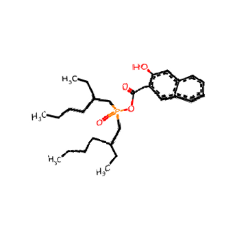 CCCCC(CC)CP(=O)(CC(CC)CCCC)OC(=O)c1cc2ccccc2cc1O